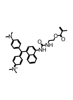 C=C(C)C(=O)OCCNC(=O)Nc1ccc(C(=C2C=CC(=[N+](C)C)C=C2)c2ccc(N(C)C)cc2)c2ccccc12